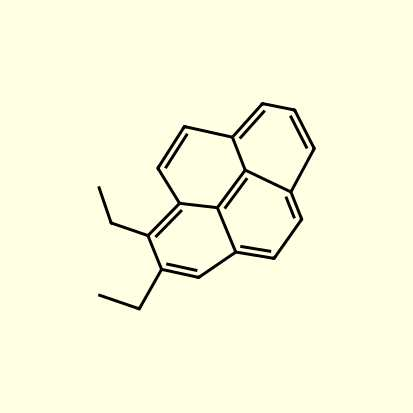 CCc1cc2ccc3cccc4ccc(c1CC)c2c34